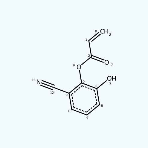 C=CC(=O)Oc1c(O)cccc1C#N